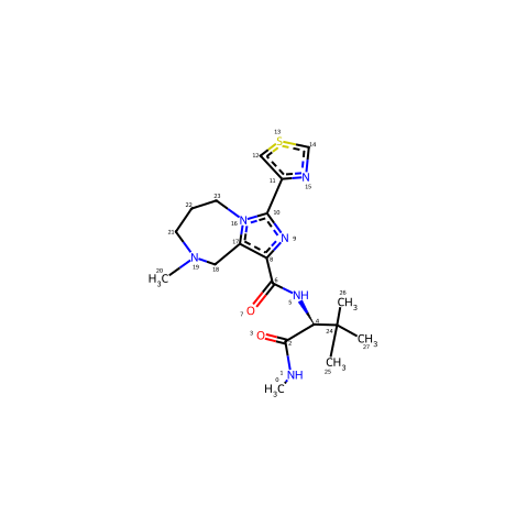 CNC(=O)[C@@H](NC(=O)c1nc(-c2cscn2)n2c1CN(C)CCC2)C(C)(C)C